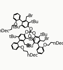 CCCCCCCCCCCCOc1ccccc1-c1c(C(C)(C)C)cc(OP(=O)(Oc2cc(C(C)(C)C)c(-c3ccccc3OCCCCCCCCCCCC)c(CBr)c2C(C)(C)C)Oc2cc(C(C)(C)C)c(-c3ccccc3OCCCCCCCCCCCC)c(CBr)c2C(C)(C)C)c(C(C)(C)C)c1CBr